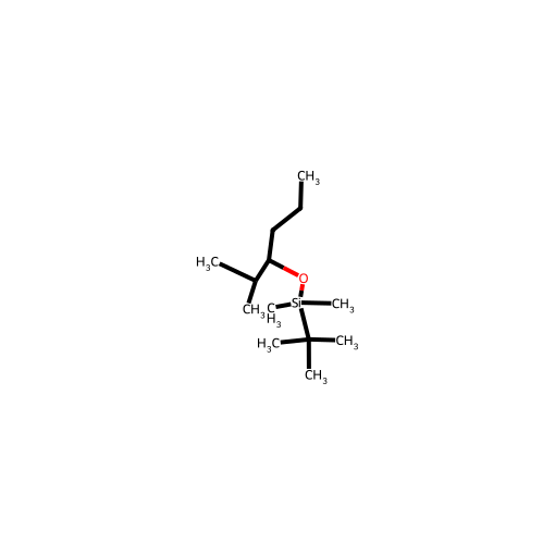 CCCC(O[Si](C)(C)C(C)(C)C)C(C)C